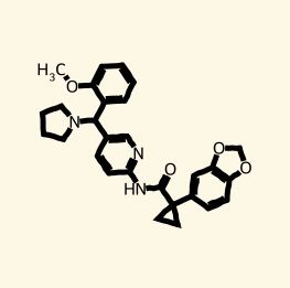 COc1ccccc1C(c1ccc(NC(=O)C2(c3ccc4c(c3)OCO4)CC2)nc1)N1CCCC1